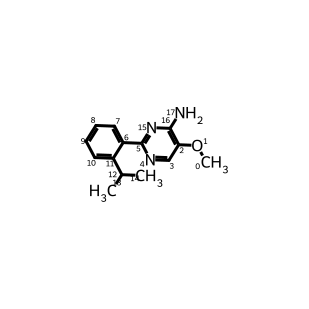 COc1cnc(-c2ccccc2C(C)C)nc1N